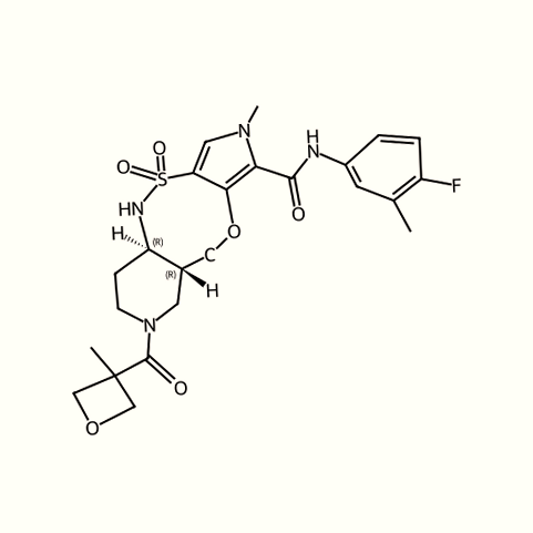 Cc1cc(NC(=O)c2c3c(cn2C)S(=O)(=O)N[C@@H]2CCN(C(=O)C4(C)COC4)C[C@H]2CO3)ccc1F